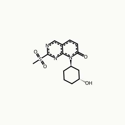 CS(=O)(=O)c1ncc2ccc(=O)n([C@@H]3CCC[C@@H](O)C3)c2n1